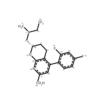 CN(C[C@@H]1CCc2c(-c3ccc(F)cc3F)cc(C(=O)O)nc2O1)CC(F)(F)F